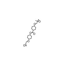 CC1(COC2CCC(C(=O)OC3CCC(OCC4CO4)CC3)CC2)CO1